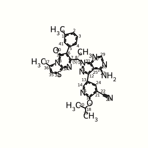 Cc1cccc(-c2c([C@H](C)n3nc(-c4cnc(OC(C)C)c(C#N)c4)c4c(N)ncnc43)nc3scc(C)n3c2=O)c1